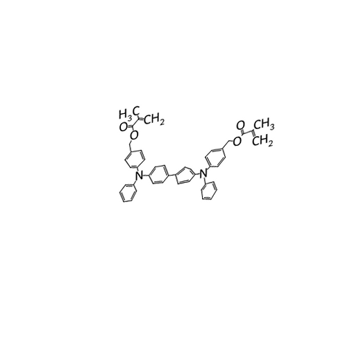 C=C(C)C(=O)OCc1ccc(N(c2ccccc2)c2ccc(-c3ccc(N(c4ccccc4)c4ccc(COC(=O)C(=C)C)cc4)cc3)cc2)cc1